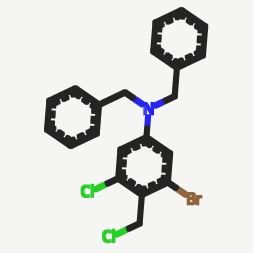 ClCc1c(Cl)cc(N(Cc2ccccc2)Cc2ccccc2)cc1Br